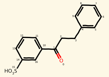 O=C(CCc1ccccc1)c1cccc(S(=O)(=O)O)c1